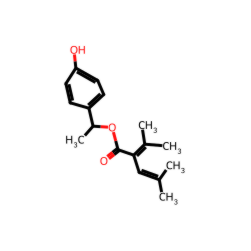 CC(C)=CC(C(=O)OC(C)c1ccc(O)cc1)=C(C)C